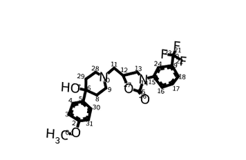 COc1ccc(C2(O)CCN(CC3CN(c4cccc(C(F)(F)F)c4)C(=O)O3)CC2)cc1